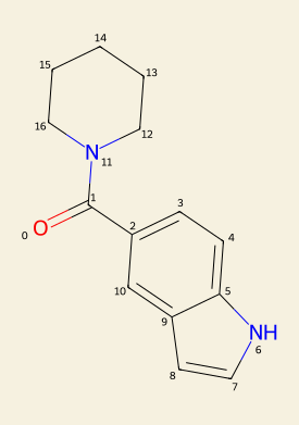 O=C(c1ccc2[nH]ccc2c1)N1CCCCC1